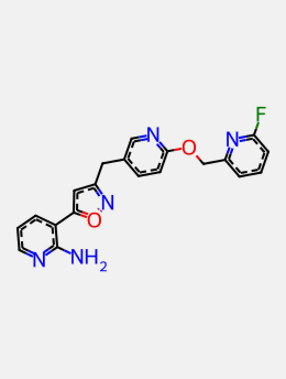 Nc1ncccc1-c1cc(Cc2ccc(OCc3cccc(F)n3)nc2)no1